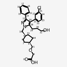 O=C(O)COC[C@H]1CC[C@@H](Cn2nc(-c3ccccc3)c(-c3cccc(Cl)c3)c2CCCO)CC1